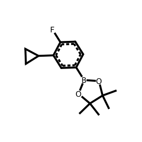 CC1(C)OB(c2ccc(F)c(C3CC3)c2)OC1(C)C